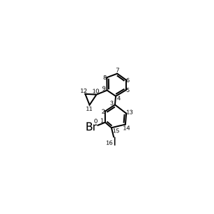 Brc1cc(-c2ccccc2C2CC2)ccc1I